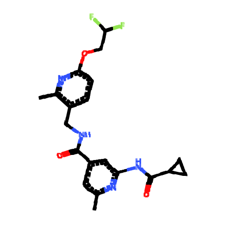 Cc1cc(C(=O)NCc2ccc(OCC(F)F)nc2C)cc(NC(=O)C2CC2)n1